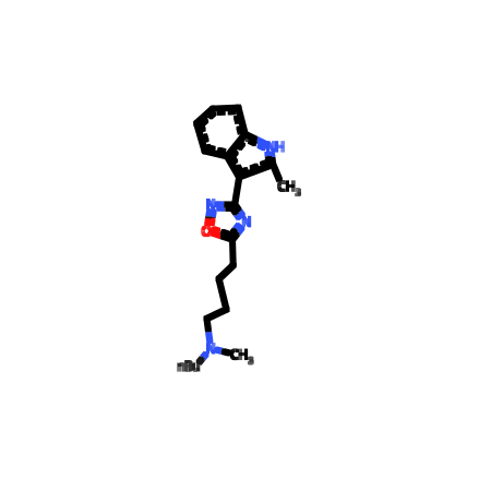 CCCCN(C)CCCCc1nc(-c2c(C)[nH]c3ccccc23)no1